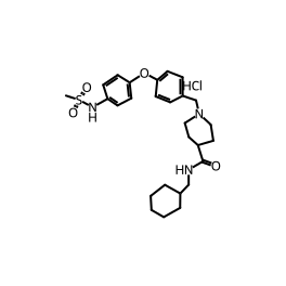 CS(=O)(=O)Nc1ccc(Oc2ccc(CN3CCC(C(=O)NCC4CCCCC4)CC3)cc2)cc1.Cl